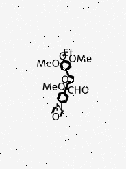 CCOc1c(OC)cc(-c2ccc(C(C=O)(OC)c3ccc(N4CCOCC4)cc3)o2)cc1OC